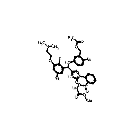 CCc1cc(OCCN(C)C)c(F)c(C(Nc2ccc(Br)c(COC(=O)C(F)(F)F)c2)c2nn(-c3ccccc3[N+](=O)ONC(=O)OC(C)(C)C)c(=O)[nH]2)c1